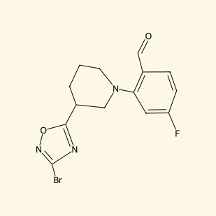 O=Cc1ccc(F)cc1N1CCCC(c2nc(Br)no2)C1